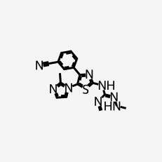 C=N/C(=N\NC)Nc1nc(-c2cccc(C#N)c2)c(-n2ccnc2C)s1